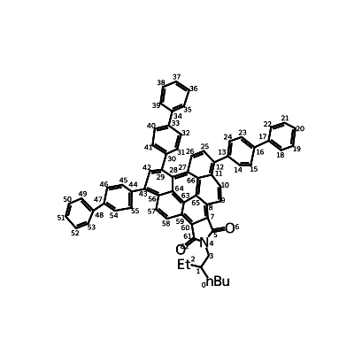 CCCCC(CC)Cn1c(=O)c2c3ccc4c(-c5ccc(-c6ccccc6)cc5)ccc5c6c(-c7ccc(-c8ccccc8)cc7)cc(-c7ccc(-c8ccccc8)cc7)c7ccc(c2c1=O)c(c76)c3c45